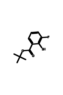 CC(C)(C)OC(=O)c1cccc(F)c1S